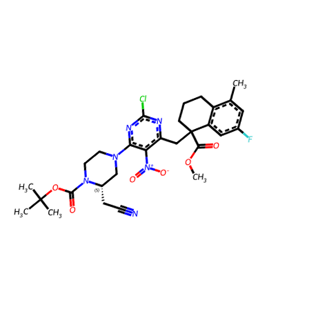 COC(=O)C1(Cc2nc(Cl)nc(N3CCN(C(=O)OC(C)(C)C)[C@@H](CC#N)C3)c2[N+](=O)[O-])CCCc2c(C)cc(F)cc21